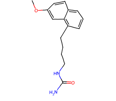 COc1ccc2cccc(CCCCNC(N)=O)c2c1